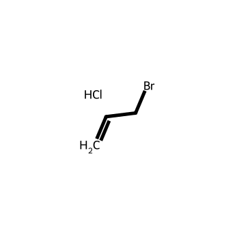 C=CCBr.Cl